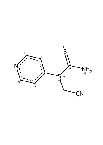 N#CC[SH](C(N)=S)c1ccncc1